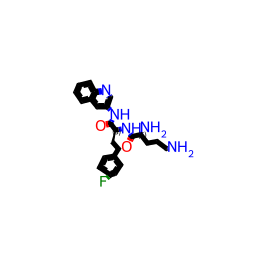 NCCC[C@H](N)C(=O)N[C@@H](CCc1ccc(F)cc1)C(=O)Nc1cnc2ccccc2c1